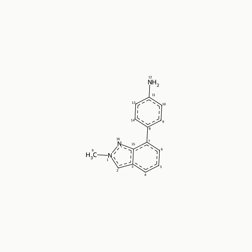 Cn1cc2cccc(-c3ccc(N)cc3)c2n1